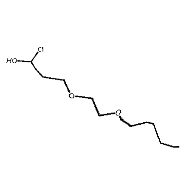 CCCCOCCOCCC(O)Cl